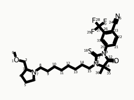 COCC1CCCN1CCCCCCCCN1C(=S)N(c2ccc(C#N)c(C(F)(F)F)c2)C(=O)C1(C)C